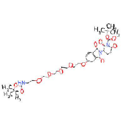 CC(C)(C)OC(=O)NCCOCCOCCOCCOCCOc1ccc2c(c1)C(=O)N(C1CCC(=O)N(C(=O)OC(C)(C)C)C1=O)C2=O